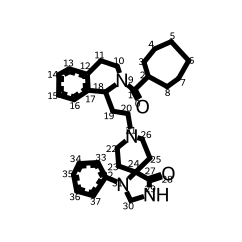 O=C(C1CCCCCC1)N1CCc2ccccc2C1CCN1CCC2(CC1)C(=O)NCN2c1ccccc1